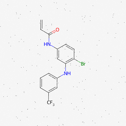 C=CC(=O)Nc1ccc(Br)c(Nc2cccc(C(F)(F)F)c2)c1